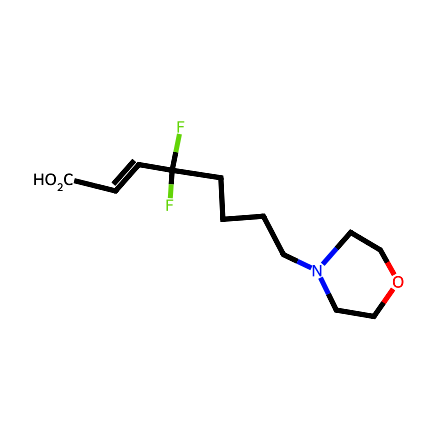 O=C(O)/C=C/C(F)(F)CCCCN1CCOCC1